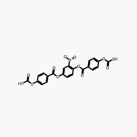 O=C(O)Oc1ccc(C(=O)Oc2ccc(OC(=O)c3ccc(OC(=O)O)cc3)c([N+](=O)[O-])c2)cc1